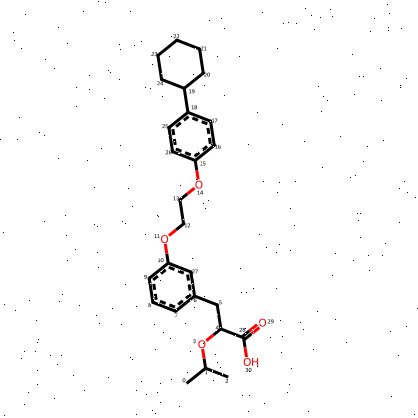 CC(C)OC(Cc1cccc(OCCOc2ccc(C3CCCCC3)cc2)c1)C(=O)O